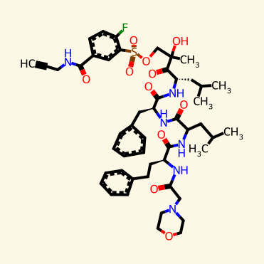 C#CCNC(=O)c1ccc(F)c(S(=O)(=O)OCC(C)(O)C(=O)[C@H](CC(C)C)NC(=O)[C@H](Cc2ccccc2)NC(=O)C(CC(C)C)NC(=O)[C@H](CCc2ccccc2)NC(=O)CN2CCOCC2)c1